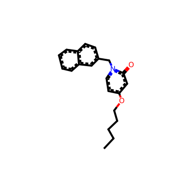 CCCCCOc1ccn(Cc2ccc3ccccc3c2)c(=O)c1